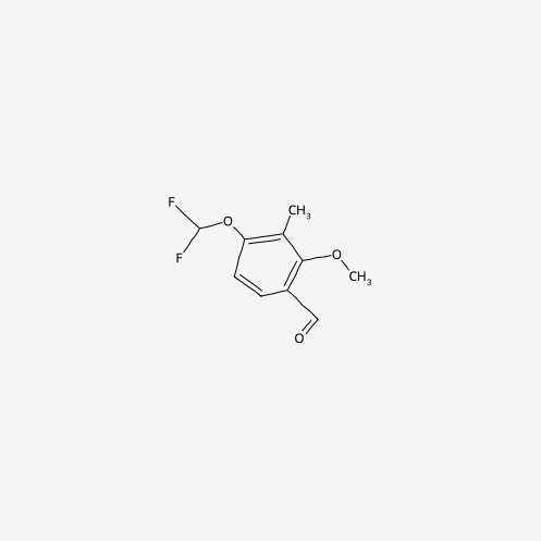 COc1c(C=O)ccc(OC(F)F)c1C